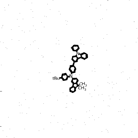 CC(C)(C)c1ccc(N(c2ccc(-c3ccc4c(c3)c3ccccc3n4-c3ccccc3)cc2)c2ccc3c(c2)-c2ccccc2C3(C)C)cc1